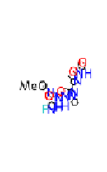 COCCN1C[C@@H](NC(=O)Nc2c(C)c(-c3cnc(C(=O)NC4CCOCC4)c(C)c3)nn2-c2ccccc2)[C@H](c2ccnc(F)c2)O1